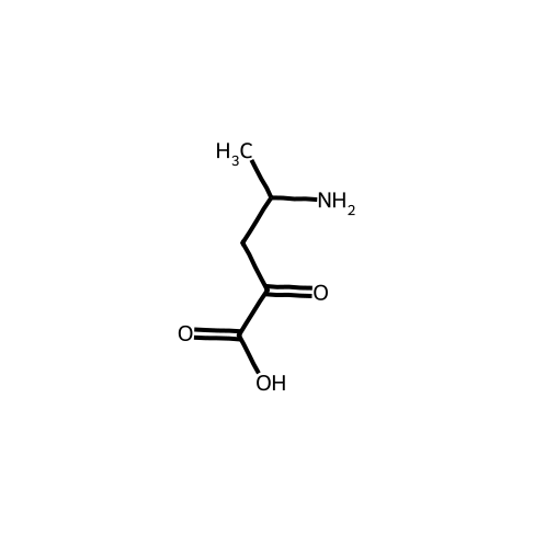 CC(N)CC(=O)C(=O)O